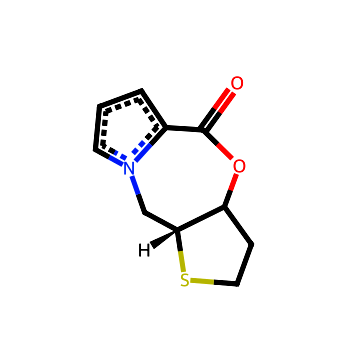 O=C1OC2CCS[C@@H]2Cn2cccc21